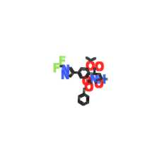 CC(=O)CC(NC(=O)OCc1ccccc1)(C(=O)OC(C)C)c1ccc(-c2cnn(C(F)F)c2)cc1